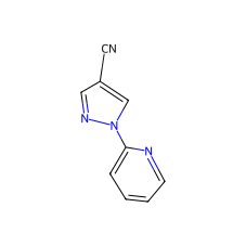 N#Cc1cnn(-c2ccccn2)c1